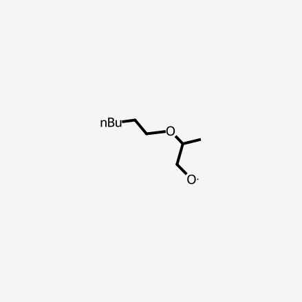 CCCCCCOC(C)C[O]